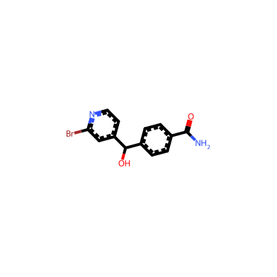 NC(=O)c1ccc(C(O)c2ccnc(Br)c2)cc1